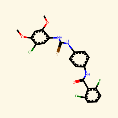 COc1cc(OC)c(NC(=S)Nc2ccc(NC(=O)c3c(F)cccc3F)cc2)cc1Cl